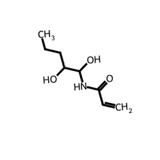 C=CC(=O)NC(O)C(O)CCC